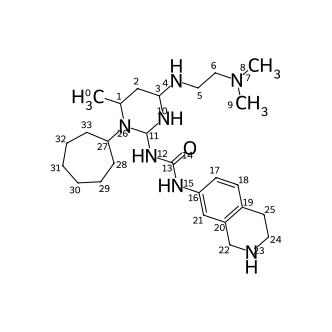 CC1CC(NCCN(C)C)NC(NC(=O)Nc2ccc3c(c2)CNCC3)N1C1CCCCCC1